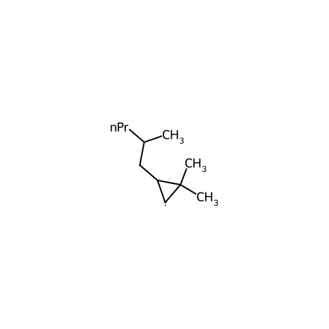 CCCC(C)CC1[CH]C1(C)C